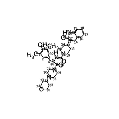 Cc1cc(C[C@@H](NC(=O)N2CCC(c3cc4ccccc4[nH]c3=O)CC2)C(=O)N2CCN(C3CCOCC3)CC2)cc(C)c1O